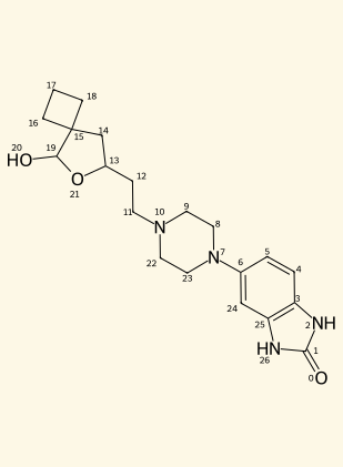 O=c1[nH]c2ccc(N3CCN(CCC4CC5(CCC5)C(O)O4)CC3)cc2[nH]1